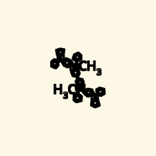 Cc1c(-c2ccccc2)n(-c2ccc(N(c3ccccc3)c3ccccc3)cc2)c2ccc(-c3ccc4c(c3)c(C)c(-c3ccccc3)n4-c3ccc(N(c4ccccc4)c4ccccc4)cc3)cc12